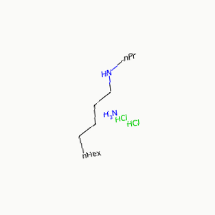 CCCCCCCCCCNCCC.Cl.Cl.N